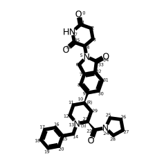 O=C1CCC(N2Cc3cc([C@@H]4CCN(Cc5ccccc5)[C@H](C(=O)N5CCCC5)C4)ccc3C2=O)C(=O)N1